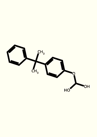 CC(C)(c1ccccc1)c1ccc(OC(O)O)cc1